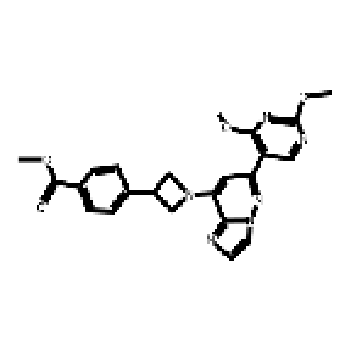 COC(=O)c1ccc(C2CN(c3cc(-c4cnc(OC)nc4OC)nn4ccnc34)C2)cc1